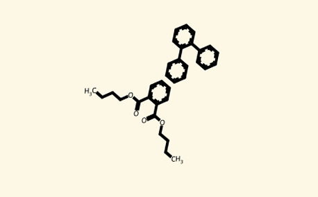 CCCCOC(=O)c1ccccc1C(=O)OCCCC.c1ccc(-c2ccccc2-c2ccccc2)cc1